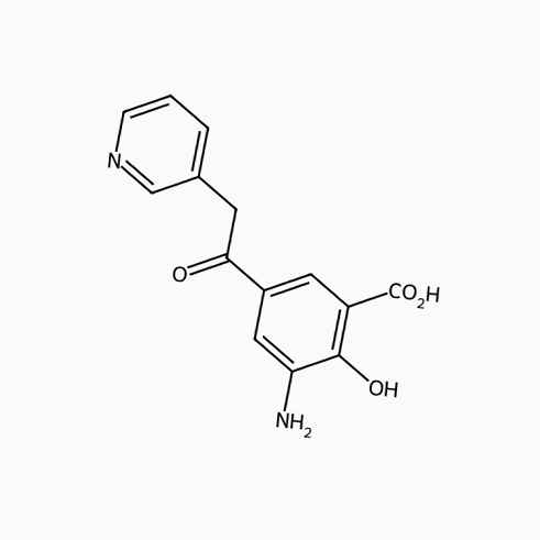 Nc1cc(C(=O)Cc2cccnc2)cc(C(=O)O)c1O